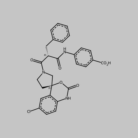 O=C1Nc2ccc(Cl)cc2[C@@]2(CCN(C(=O)[C@H](Cc3ccccc3)C(=O)Nc3ccc(C(=O)O)cc3)C2)O1